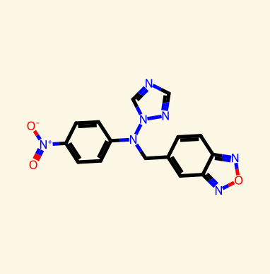 O=[N+]([O-])c1ccc(N(Cc2ccc3nonc3c2)n2cncn2)cc1